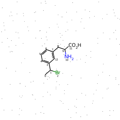 CC(Br)c1cccc(CC(N)C(=O)O)c1